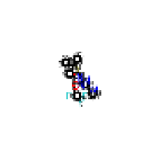 Fc1cc(F)c(COC[C@@H]2C[C@@H](SC(c3ccccc3)(c3ccccc3)c3ccccc3)CN2c2ncc(-c3ccccn3)cn2)cc1F